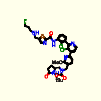 COc1nc(-c2ccnc(-c3cccc(NC(=O)c4ncc(CNCCCF)s4)c3Cl)c2Cl)ccc1CN(C[C@@H]1CCC(=O)N1)C(=O)OC(C)(C)C